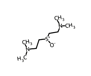 CN(C)CC[S+]([O-])CCN(C)C